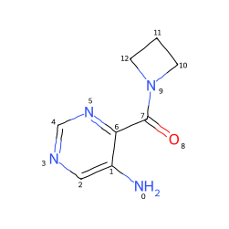 Nc1cncnc1C(=O)N1CCC1